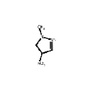 CN1CC([N+](=O)[O-])C=[N+]1